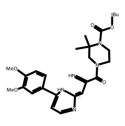 COc1ccc(C2=CC=N/C(=C/C(=N)C(=O)N3CCN(C(=O)OC(C)(C)C)C(C)(C)C3)N2)cc1OC